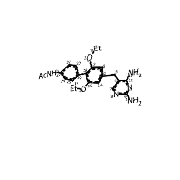 CCOc1cc(Cc2cnc(N)nc2N)cc(OCC)c1-c1ccc(NC(C)=O)cc1